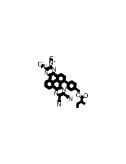 [C-]#[N+]c1nc2c3cccc4c5nc(C#N)c(C#N)nc5c5c(-c6ccc(COC(=O)C(C)CC)cc6)ccc(c2nc1[N+]#[C-])c5c34